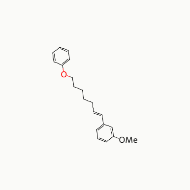 COc1cccc(/C=C/CCCCCOc2ccccc2)c1